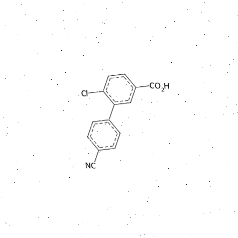 N#Cc1ccc(-c2cc(C(=O)O)ccc2Cl)cc1